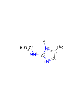 CCOC(=O)Nc1ncc(C(C)=O)n1C